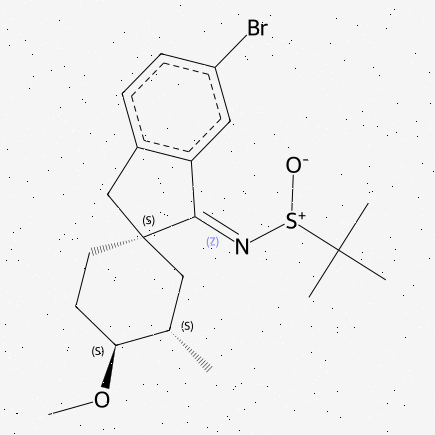 CO[C@H]1CC[C@@]2(Cc3ccc(Br)cc3/C2=N\[S+]([O-])C(C)(C)C)C[C@@H]1C